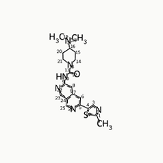 Cc1ncc(-c2cc3cc(NC(=O)N4CCC(N(C)C)CC4)ncc3cn2)s1